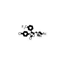 CC(=O)c1cn(C[C@@H]2OC(=O)N(c3ccc(Cl)cc3)[C@H]2c2cccc(C(F)(F)F)c2)nn1